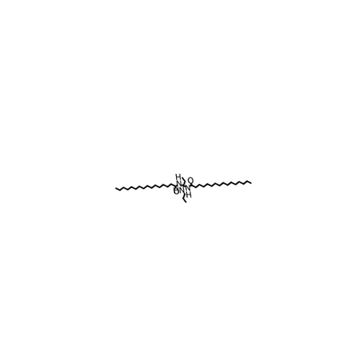 CCCCCCCCCCCCCCCC(=O)NC(CC)(NCCC)NC(=O)CCCCCCCCCCCCCCC